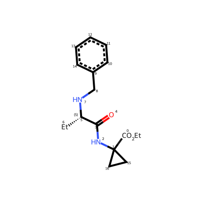 CCOC(=O)C1(NC(=O)[C@H](CC)NCc2ccccc2)CC1